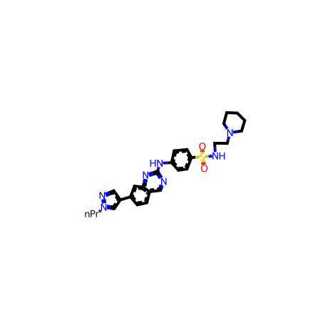 CCCn1cc(-c2ccc3cnc(Nc4ccc(S(=O)(=O)NCCN5CCCCC5)cc4)nc3c2)cn1